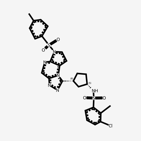 Cc1ccc(S(=O)(=O)n2ccc3c2ncc2nnc([C@@H]4CC[C@H](NS(=O)(=O)c5cccc(Cl)c5C)C4)n23)cc1